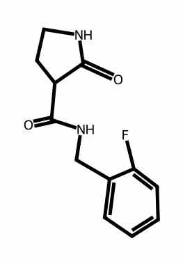 O=C1NCCC1C(=O)NCc1ccccc1F